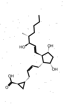 CCCC[C@@H](C)[C@H](O)/C=C/[C@@H]1[C@@H](C/C=C\C[C@@H]2C[C@H]2C(=O)O)[C@@H](O)C[C@H]1O